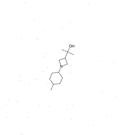 CC1CCC(N2CC(C(C)(C)O)C2)CC1